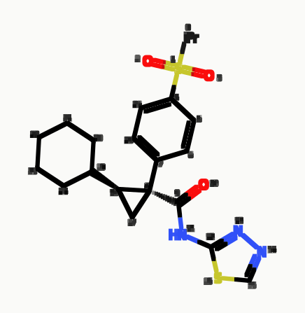 CC(C)S(=O)(=O)c1ccc([C@@]2(C(=O)Nc3nncs3)C[C@H]2C2CCCCC2)cc1